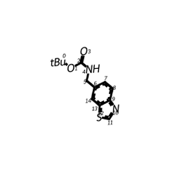 CC(C)(C)OC(=O)NCc1ccc2ncsc2c1